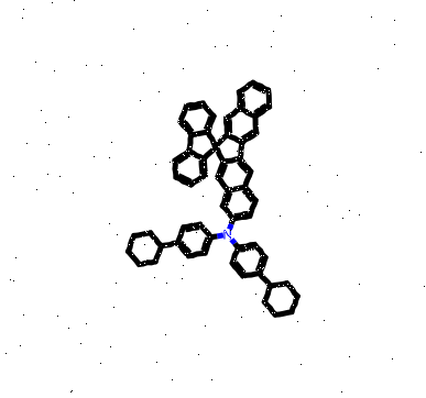 c1ccc2c(c1)-c1ccccc1C21c2cc3ccccc3cc2-c2cc3ccc(N(c4ccc(C5CCCCC5)cc4)c4ccc(C5CCCCC5)cc4)cc3cc21